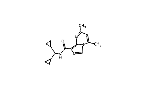 Cc1cc(C)n2cnc(C(=O)NC(C3CC3)C3CC3)c2n1